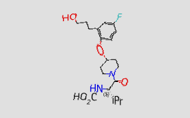 CC(C)[C@H](NC(=O)O)C(=O)N1CCC(Oc2ccc(F)cc2CCCO)CC1